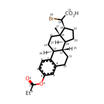 CCC(=O)Oc1ccc2c(c1)CC[C@@H]1[C@@H]2CC[C@]2(C)[C@@H](C(Br)C(=O)O)CC[C@@H]12